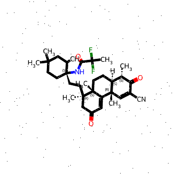 CC1CC(C)(C)CC[C@@]1(CC[C@]1(C)CC(=O)C=C2[C@@]3(C)C=C(C#N)C(=O)[C@@H](C)[C@@H]3CC[C@]21C)NC(=O)C(C)(F)F